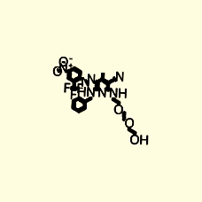 Cc1c(C#N)c(NCCOCCOCCO)nc(NCc2ccccc2)c1N=Nc1ccc([N+](=O)[O-])cc1C(F)(F)F